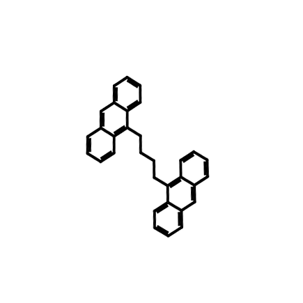 c1ccc2c(CCCCc3c4ccccc4cc4ccccc34)c3ccccc3cc2c1